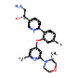 Cc1cc(Oc2cc(C#N)ccc2-c2ccc([C@H](O)CN)cn2)cc(N2CCOC[C@H]2C)n1